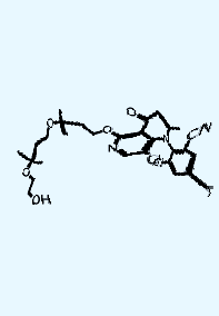 Cc1cc(=O)c2c(OCCC(C)(C)OCCC(C)(C)OCCO)ncc(Cl)c2n1-c1c(Cl)cc(F)cc1C#N